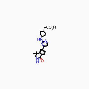 CC1(C)CNC(=O)c2ccc(-c3ccnc(N[C@H]4CC[C@H](CC(=O)O)CC4)n3)cc21